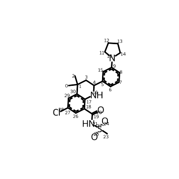 CC1(C)CC(c2cccc(N3CCCC3)c2)Nc2c(C(=O)NS(C)(=O)=O)cc(Cl)cc21